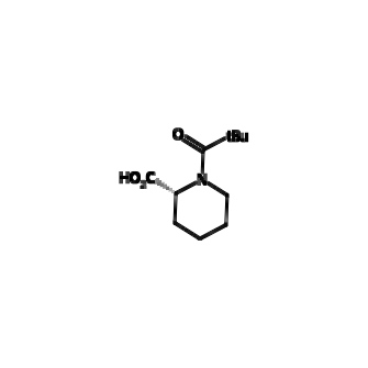 CC(C)(C)C(=O)N1CCCC[C@@H]1C(=O)O